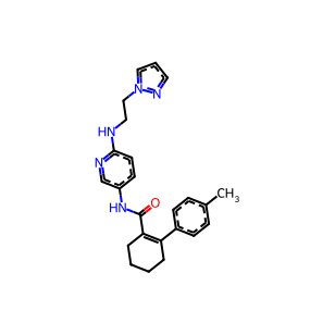 Cc1ccc(C2=C(C(=O)Nc3ccc(NCCn4cccn4)nc3)CCCC2)cc1